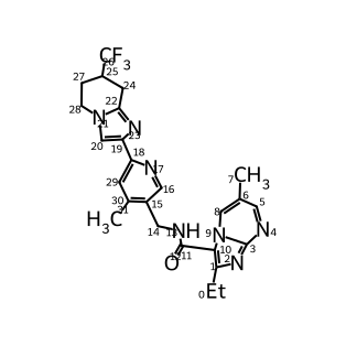 CCc1nc2ncc(C)cn2c1C(=O)NCc1cnc(-c2cn3c(n2)CC(C(F)(F)F)CC3)cc1C